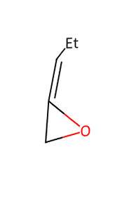 CCC=C1CO1